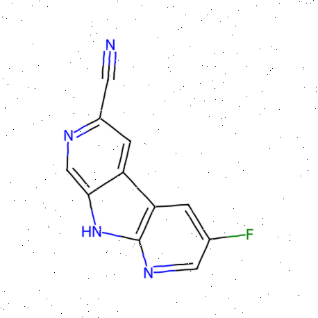 N#Cc1cc2c(cn1)[nH]c1ncc(F)cc12